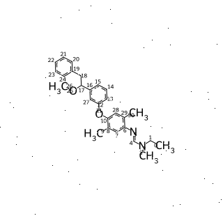 CCN(C)C=Nc1cc(C)c(Oc2cccc(C(Cc3ccccc3)OC)c2)cc1C